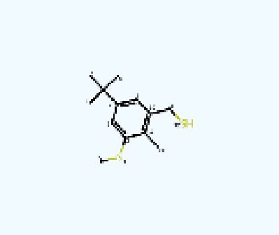 CSc1cc(C(C)(C)C)cc(CS)c1C